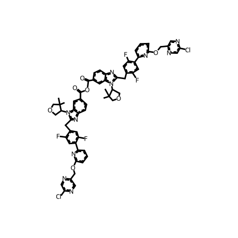 CC1(C)COCC1n1c(Cc2cc(F)c(-c3cccc(OCc4cnc(Cl)cn4)n3)cc2F)nc2ccc(C(=O)OC(=O)c3ccc4nc(Cc5cc(F)c(-c6cccc(OCc7cnc(Cl)cn7)n6)cc5F)n(C5COCC5(C)C)c4c3)cc21